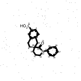 O=C(O)c1ccc2c(c1)CC[C@@]1(CCCN(c3ccccc3)C1=O)C2